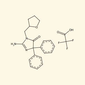 NC1=NC(c2ccccc2)(c2ccccc2)C(=O)N1CC1CCCO1.O=C(O)C(F)(F)F